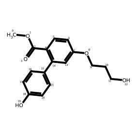 COC(=O)c1ccc(OCCCO)cc1-c1ccc(O)cc1